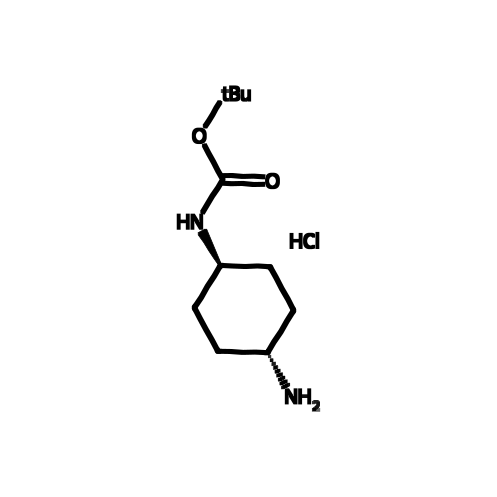 CC(C)(C)OC(=O)N[C@H]1CC[C@H](N)CC1.Cl